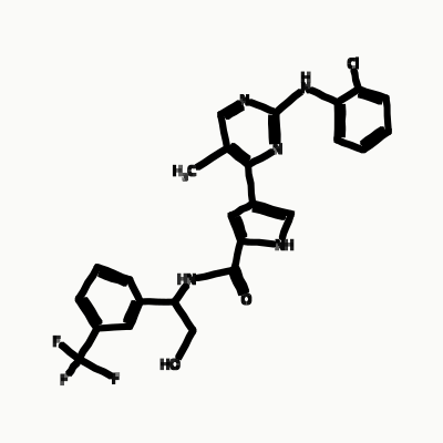 Cc1cnc(Nc2ccccc2Cl)nc1-c1c[nH]c(C(=O)NC(CO)c2cccc(C(F)(F)F)c2)c1